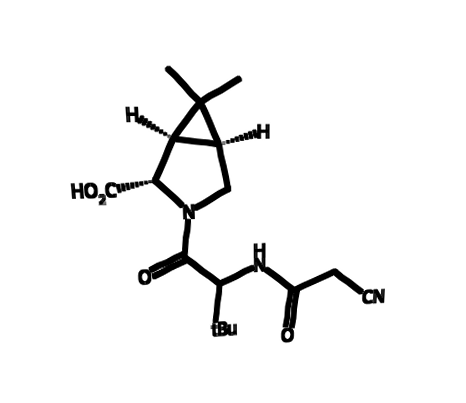 CC(C)(C)C(NC(=O)CC#N)C(=O)N1C[C@H]2[C@@H]([C@H]1C(=O)O)C2(C)C